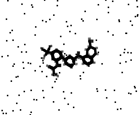 CC(=O)Nc1cc(C(F)(F)F)ccc1-c1ccnc(Nc2cccc3c2CC(O)CC3)c1